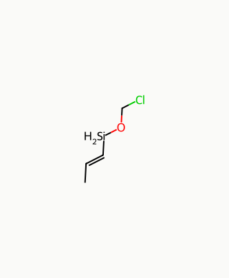 CC=C[SiH2]OCCl